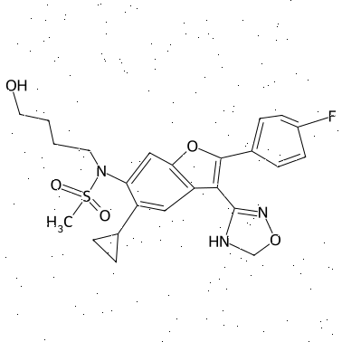 CS(=O)(=O)N(CCCCO)c1cc2oc(-c3ccc(F)cc3)c(C3=NOCN3)c2cc1C1CC1